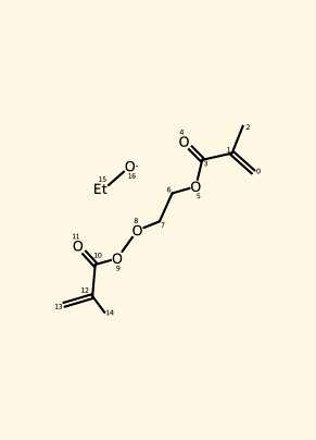 C=C(C)C(=O)OCCOOC(=O)C(=C)C.[CH2]C[O]